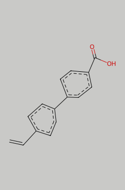 C=Cc1ccc(-c2ccc(C(=O)O)cc2)cc1